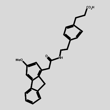 COc1cc(CC(=O)NCCc2ccc(CCC(=O)O)cc2)c2c(c1)-c1ccccc1C2